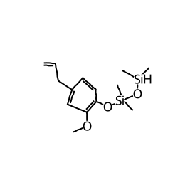 C=CCc1ccc(O[Si](C)(C)O[SiH](C)C)c(OC)c1